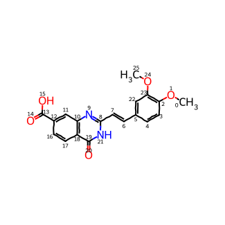 COc1ccc(C=Cc2nc3cc(C(=O)O)ccc3c(=O)[nH]2)cc1OC